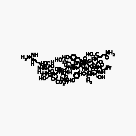 CSCC[C@H](NC(=O)[C@H](CC(C)C)NC(=O)[C@H](CO)NC(=O)[C@@H](NC(=O)CNC(=O)[C@H](Cc1ccc(O)cc1)NC(=O)[C@H](Cc1ccc(O)cc1)NC(=O)[C@H](CCC(=O)O)NC(=O)[C@@H](NC(=O)[C@H](CO)NC(=O)[C@H](CCC(=O)O)NC(=O)[C@H](CO)NC(=O)[C@@H](NC(=O)[C@@H](N)CCCNC(=N)N)[C@@H](C)O)C(C)C)[C@@H](C)O)C(=O)N[C@@H](CCC(N)=O)C(=O)O